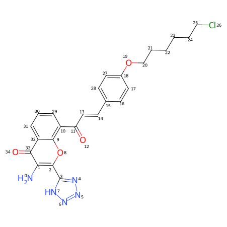 Nc1c(-c2nnn[nH]2)oc2c(C(=O)C=Cc3ccc(OCCCCCCCl)cc3)cccc2c1=O